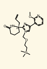 C=CC[C@@]1(c2nc(-c3cccnc3OC)cn2COCC[Si](C)(C)C)CCCC(=O)N1